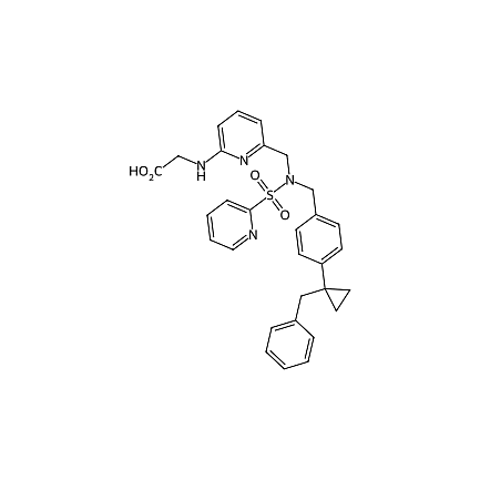 O=C(O)CNc1cccc(CN(Cc2ccc(C3(Cc4ccccc4)CC3)cc2)S(=O)(=O)c2ccccn2)n1